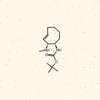 CN[C@H]1/C=C/CCCC[C@H]1NC(=O)OC(C)(C)C